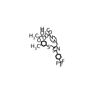 COC(=O)N1CCN(Cc2nc(-c3ccc(C(F)(F)F)cc3)sc2CSc2ccc(OC(C)C(=O)O)c(C)c2)CC1